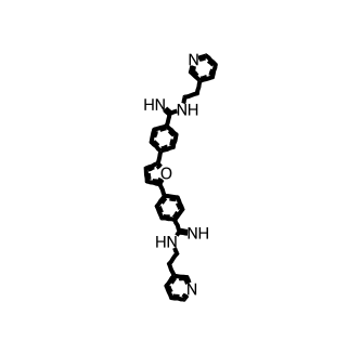 N=C(NCCc1cccnc1)c1ccc(-c2ccc(-c3ccc(C(=N)NCCc4cccnc4)cc3)o2)cc1